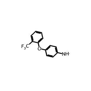 [NH]c1ccc(Oc2ccccc2C(F)(F)F)cc1